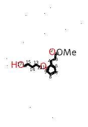 COC(=O)CCc1ccccc1OCCCCCO